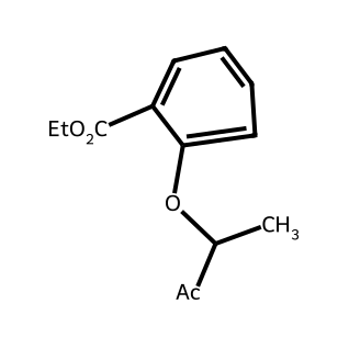 CCOC(=O)c1ccccc1OC(C)C(C)=O